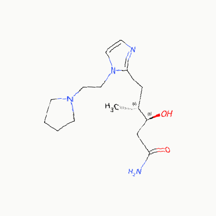 C[C@H](Cc1nccn1CCN1CCCC1)[C@@H](O)CC(N)=O